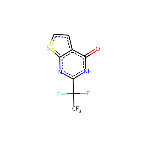 O=c1[nH]c(C(F)(F)C(F)(F)F)nc2sccc12